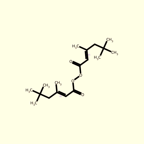 C/C(=C\C(=O)OOC(=O)/C=C(\C)CC(C)(C)C)CC(C)(C)C